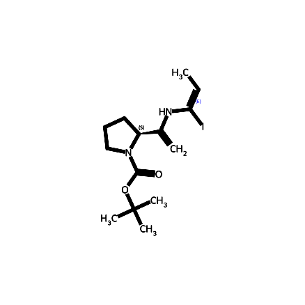 C=C(N/C(I)=C\C)[C@@H]1CCCN1C(=O)OC(C)(C)C